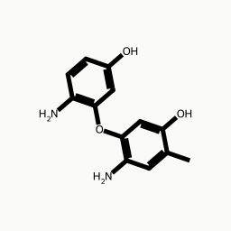 Cc1cc(N)c(Oc2cc(O)ccc2N)cc1O